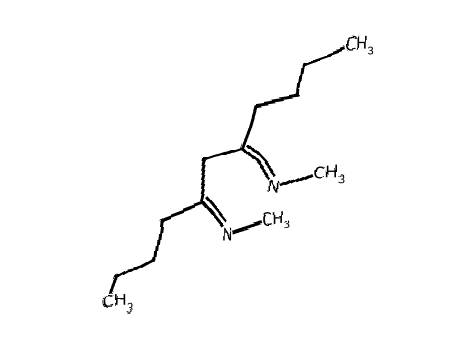 CCCCC(CC(CCCC)=NC)=NC